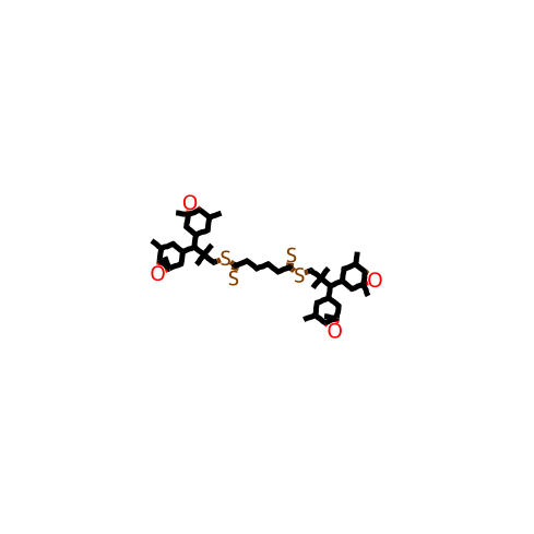 CC1CC(C(C2CC(C)C3OC3(C)C2)C(C)(C)CSC(=S)CCCCC(=S)SCC(C)(C)C(C2CC(C)C3OC3(C)C2)C2CC(C)C3OC3(C)C2)CC2(C)OC12